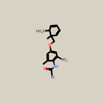 CCC(=O)Nc1c(C)cc(OCC2(C)C=CC=CC2C(=O)O)cc1[N+](=O)[O-]